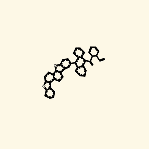 C=CC1C=CC=CC1C(=C)c1c2ccccc2c(-c2ccc3oc4c(ccc5c4ccc4oc6ccccc6c45)c3c2)c2ccccc12